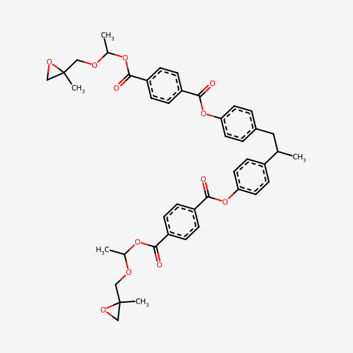 CC(OCC1(C)CO1)OC(=O)c1ccc(C(=O)Oc2ccc(CC(C)c3ccc(OC(=O)c4ccc(C(=O)OC(C)OCC5(C)CO5)cc4)cc3)cc2)cc1